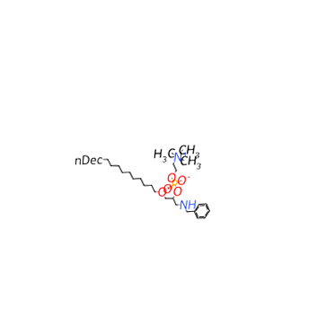 CCCCCCCCCCCCCCCCCCCCOCC(CNCc1ccccc1)OP(=O)([O-])OCC[N+](C)(C)C